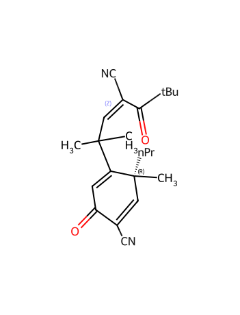 CCC[C@]1(C)C=C(C#N)C(=O)C=C1C(C)(C)/C=C(/C#N)C(=O)C(C)(C)C